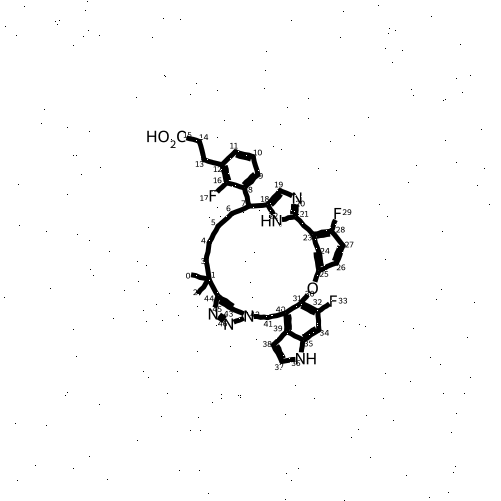 CC1(C)CCCCC(c2cccc(CCC(=O)O)c2F)c2cnc([nH]2)-c2cc(ccc2F)Oc2c(F)cc3[nH]ccc3c2Cn2cc1nn2